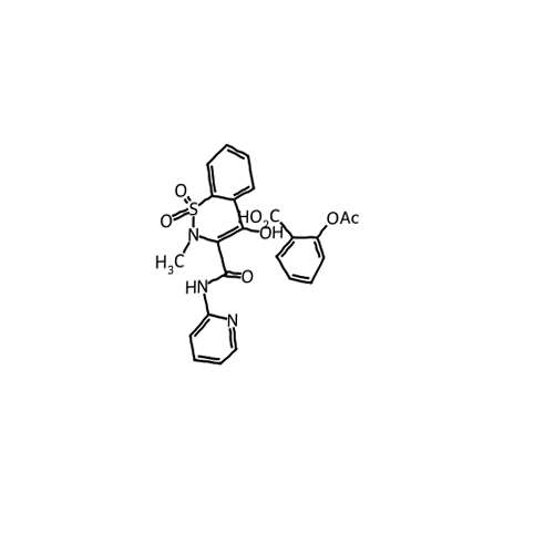 CC(=O)Oc1ccccc1C(=O)O.CN1C(C(=O)Nc2ccccn2)=C(O)c2ccccc2S1(=O)=O